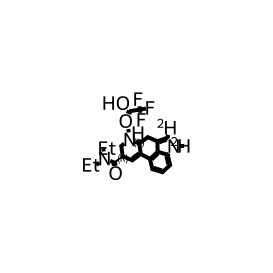 O=C(O)C(F)(F)F.[2H]c1c2c3c(cccc3n1[2H])C1=C[C@@H](C(=O)N(CC)CC)CN(C)[C@@H]1C2